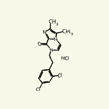 Cc1nc2c(=O)n(CCc3ccc(Cl)cc3Cl)ccn2c1C.Cl